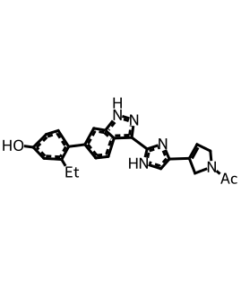 CCc1cc(O)ccc1-c1ccc2c(-c3nc(C4=CCN(C(C)=O)C4)c[nH]3)n[nH]c2c1